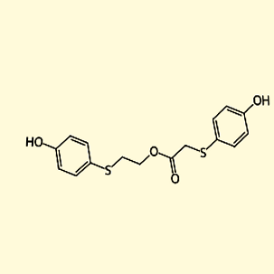 O=C(CSc1ccc(O)cc1)OCCSc1ccc(O)cc1